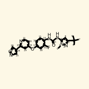 Cn1nc(C(C)(C)C)cc1NC(=O)Nc1ccc(Oc2ccnc(-c3cnoc3)c2)cc1F